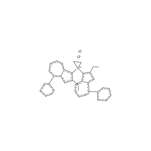 CCc1cc2c(-c3ccccc3)ccccc-2[c]1[Ti+2]1([c]2c(CC)cc3c(-c4ccccc4)ccccc2-3)[CH2][CH2]1.[Cl-].[Cl-]